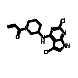 C=CC(=O)N1CCCC(Nc2nc(Cl)nc3[nH]cc(Cl)c23)C1